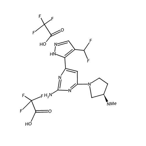 CN[C@@H]1CCN(c2cc(-c3[nH]ncc3C(F)F)nc(N)n2)C1.O=C(O)C(F)(F)F.O=C(O)C(F)(F)F